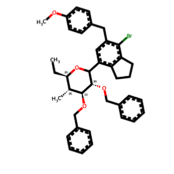 CC[C@H]1OC(c2cc(Cc3ccc(OC)cc3)c(Br)c3c2CCC3)[C@H](OCc2ccccc2)[C@@H](OCc2ccccc2)[C@@H]1C